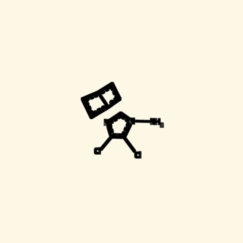 Nn1cnc(Cl)c1Cl.c1cc2ccc1-2